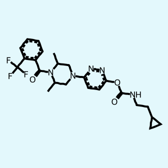 CC1CN(c2ccc(OC(=O)NCCC3CC3)nn2)CC(C)N1C(=O)c1ccccc1C(F)(F)F